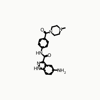 CN1CCN(C(=O)c2ccc(NC(=O)c3n[nH]c4ccc(N)cc34)cc2)CC1